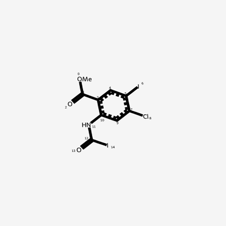 COC(=O)c1cc(I)c(Cl)cc1NC(=O)I